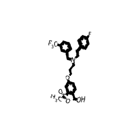 CS(=O)(=O)c1cc(OCCCN(CCc2ccc(F)cc2)Cc2cccc(C(F)(F)F)c2)ccc1CO